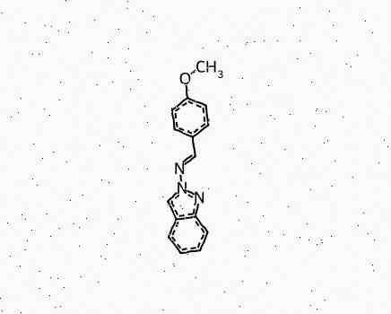 COc1ccc(C=Nn2cc3ccccc3n2)cc1